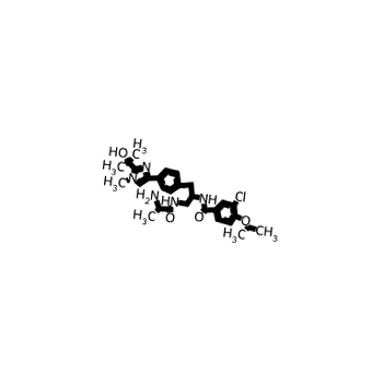 CC(C)Oc1ccc(C(=O)NC(CNC(=O)C(C)N)Cc2ccc(-c3cn(C)c(C(C)(C)O)n3)cc2)cc1Cl